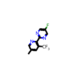 Cc1cnc(-c2ncc(F)cn2)c(C(F)(F)F)c1